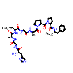 CC(C)[C@H](NC(=O)CNC(=O)[C@H](CC(=O)O)NC(=O)[C@H](C)NC(=O)CNC(=O)[C@@H](N)Cc1c[nH]cn1)C(=O)N1CCC[C@H]1C(=O)N1CCC[C@H]1C(=O)N[C@@H](Cc1ccccc1)C(=O)O